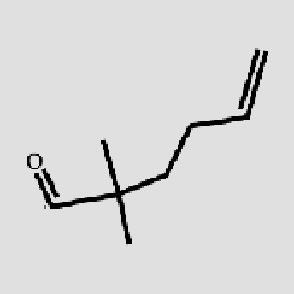 C=CCCC(C)(C)[C]=O